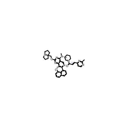 Cc1nccc(/C=C/C(=O)N2CCC[C@@H](N(C)c3nc(OCC45CCCN4CCC5)nc4c(F)c(-c5cccc6cccc(Cl)c56)ncc34)C2)n1